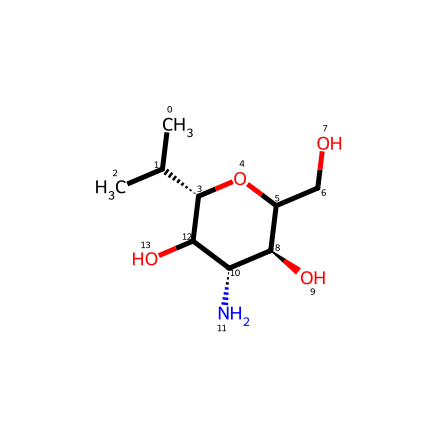 CC(C)[C@@H]1OC(CO)[C@@H](O)[C@H](N)C1O